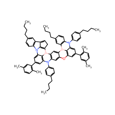 CCCCc1ccc(N2c3ccc(CCCC)cc3B3c4cc5c(cc4Oc4cc(-c6cc(C)ccc6C)cc2c43)N(c2ccc(CCCC)cc2)c2cc(-c3cc(C)ccc3C)cc3c2B5C2=c4c(c5cc(CCCC)ccc5n4-3)=CC2)cc1